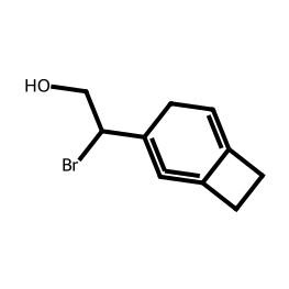 OCC(Br)C1=C=C2CCC2=CC1